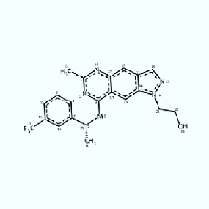 Cc1nc(N[C@H](C)c2cccc(C(F)(F)F)c2)c2cc3c(cnn3CCO)cc2n1